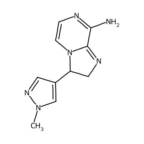 Cn1cc(C2CN=C3C(N)=NC=CN32)cn1